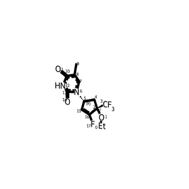 CCO[C@@]1(C(F)(F)F)C[C@@H](n2cc(C)c(=O)[nH]c2=O)C=C1F